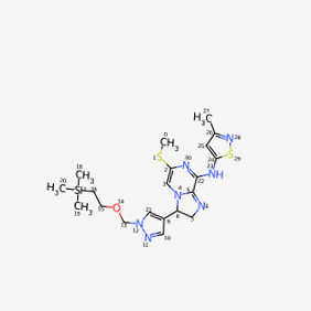 CSC1=CN2C(=NCC2c2cnn(COCC[Si](C)(C)C)c2)C(Nc2cc(C)ns2)=N1